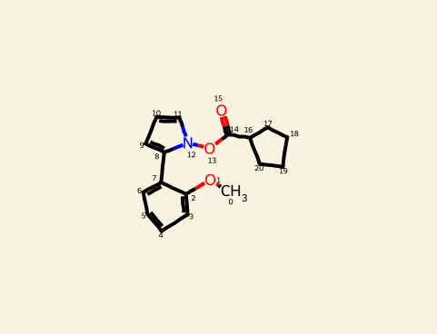 COc1ccccc1-c1cccn1OC(=O)C1CCCC1